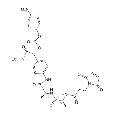 CCNC(=O)C(OC(=O)Oc1ccc([N+](=O)[O-])cc1)c1ccc(NC(=O)[C@H](C)NC(=O)[C@H](C)NC(=O)CCN2C(=O)C=CC2=O)cc1